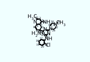 Cc1cc(N)c2c(n1)C=CC(N)(c1nc(Nc3ccccc3Cl)nc(N3CCN(C)CC3)n1)C2